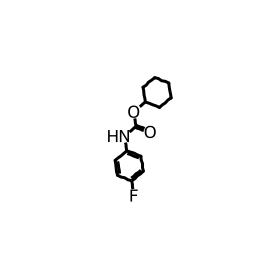 O=C(Nc1ccc(F)cc1)OC1CCCCC1